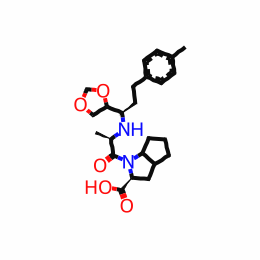 Cc1ccc(CC[C@@H](N[C@H](C)C(=O)N2C3CCCC3C[C@H]2C(=O)O)C2COCO2)cc1